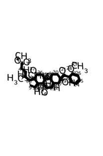 COC(=O)CC[C@@H](C)[C@H]1CC[C@H]2[C@@H]3[C@H](O)C[C@@H]4C[C@](O)(C(=O)c5ccccc5OC)CC[C@]4(C)[C@H]3C[C@H](O)[C@]12C